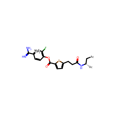 C=C(/C=C\C(OC(=O)c1ccc(CCC(=O)N[C@H](CC(C)=O)C(C)=O)s1)=C(/C)F)C(=N)N